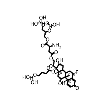 C[C@]12C=CC(=O)C=C1[C@@H](F)CC1C3C[C@@H](O)[C@](OC(=O)CCCON(O)O)(C(=O)COC(=O)CC(N)C(=O)OCC(CON(O)O)ON(O)O)[C@@]3(C)C[C@H](O)C12F